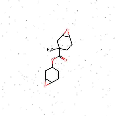 CC1(C(=O)OC2CCC3OC3C2)CCC2OC2C1